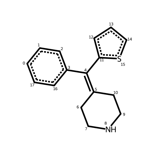 c1ccc(C(=C2CCNCC2)c2cccs2)cc1